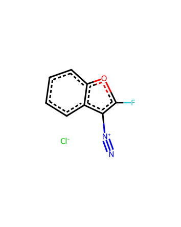 N#[N+]c1c(F)oc2ccccc12.[Cl-]